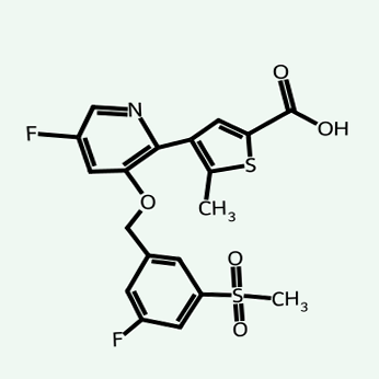 Cc1sc(C(=O)O)cc1-c1ncc(F)cc1OCc1cc(F)cc(S(C)(=O)=O)c1